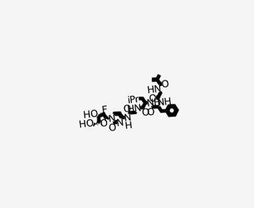 C=C(C)C(=O)NCC(=O)NC(Cc1ccccc1)C(=O)NC(CC(C)C)C(=O)NCC(=O)Nc1ccn([C@@H]2O[C@H](CO)C(O)[C@@H]2F)c(=O)n1